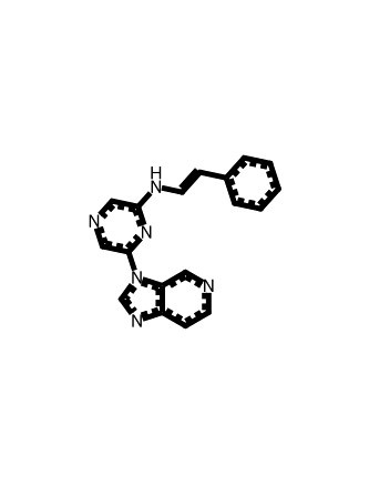 C(=Cc1ccccc1)Nc1cncc(-n2cnc3ccncc32)n1